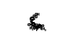 CC(c1ccc(Oc2cnc(OC(=O)O)cn2)c(Cl)c1Cl)C(O)(c1ccc(=O)n(C)c1)C(F)(F)F